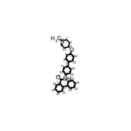 CN1CCC(Oc2ccc(-c3ccc(NC(=O)c4ccccc4-c4ccccc4)cc3)cc2)CC1